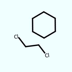 C1CCCCC1.ClCCCl